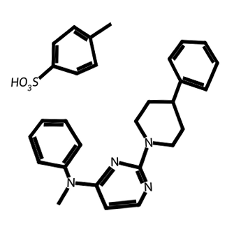 CN(c1ccccc1)c1ccnc(N2CCC(c3ccccc3)CC2)n1.Cc1ccc(S(=O)(=O)O)cc1